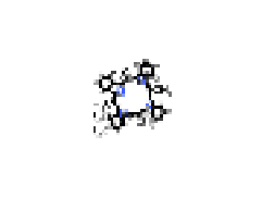 Cc1ccc2c(c1C)c1c(C)c3nc(c(C)c4c5ccccc5c(c(C)c5nc(c(C)c2n1C)-c1ccccc1-5)n4C)-c1ccccc1-3